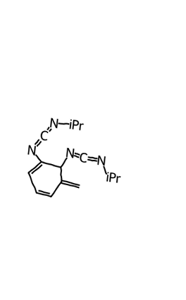 C=C1C=CC=C(N=C=NC(C)C)C1N=C=NC(C)C